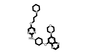 c1cnc2c(O[C@H]3CC[C@@H](Nc4ncc(OCCCN5CCCCC5)cn4)CC3)cc(N3CCOCC3)cc2n1